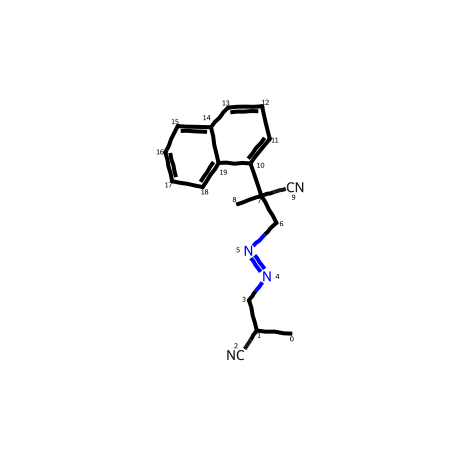 CC(C#N)CN=NCC(C)(C#N)c1cccc2ccccc12